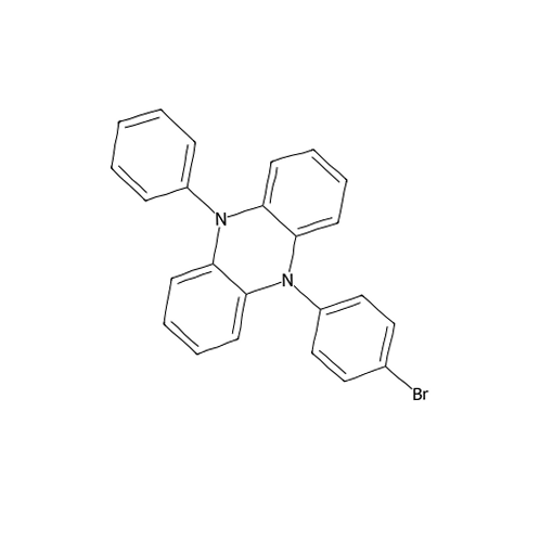 Brc1ccc(N2c3ccccc3N(c3ccccc3)c3ccccc32)cc1